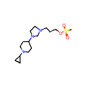 CS(=O)(=O)OCCCN1CCN(C2CCN(C3CC3)CC2)C1